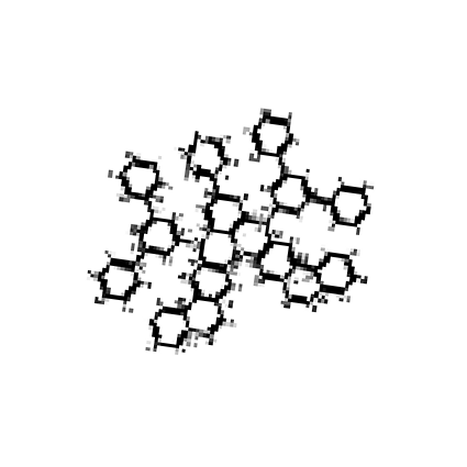 c1ccc(-c2cc(-c3ccccc3)cc(N3c4cc5c(ccc6ccccc65)cc4B4c5cc6ccc7ccccc7c6cc5N(c5cc(-c6ccccc6)cc(-c6ccccc6)c5)c5cc(-c6ccncn6)cc3c54)c2)cc1